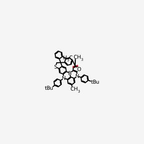 Cc1cc2c3c(c1)N(c1ccc(C(C)(C)C)cc1)c1oc4c(c1B3c1cc3c(cc1N2c1ccc(C(C)(C)C)cc1)SCC31c2ccccc2-c2ccccc21)CC(C)(C)C4